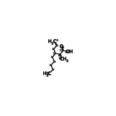 C=CCC(CCCCC)C(=C)C(=O)O